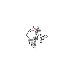 COc1cc2ccccc2c(O[C@@H]2C[C@H]3C(=O)N[C@]4(C(=O)NS(=O)(=O)C5(C)CC5)C[C@H]4/C=C\CC[C@H](C)C[C@@H](C)[C@H](N(C(=O)O)C(C)(C)C)C(=O)N3C2)n1